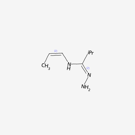 C/C=C\N/C(=N\N)C(C)C